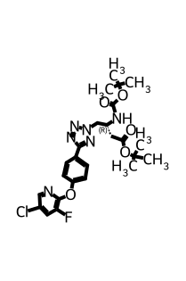 CC(C)(C)OC(=O)C[C@H](Cn1nnc(-c2ccc(Oc3ncc(Cl)cc3F)cc2)n1)NC(=O)OC(C)(C)C